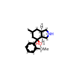 COc1ccccc1C1(O)CC(C)C[C@H]2CNC[C@H]21